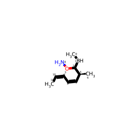 CBC(ON)[C@@H](C)/C=C\C=C/C